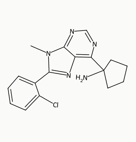 Cn1c(-c2ccccc2Cl)nc2c(C3(N)CCCC3)ncnc21